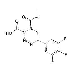 COC(=O)N1CC(c2cc(F)c(F)c(F)c2)N=NN1C(=O)O